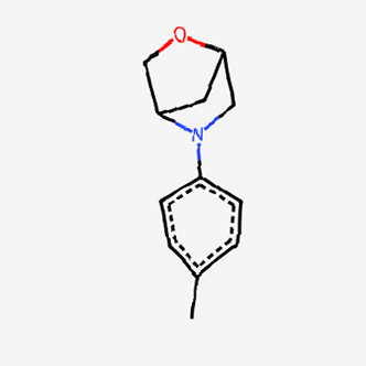 Cc1ccc(N2CC3CC2CO3)cc1